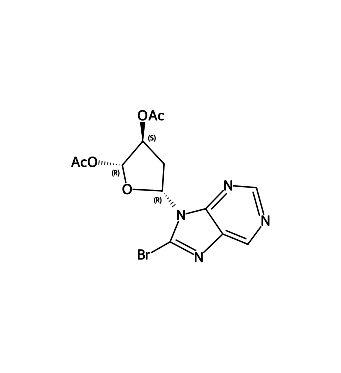 CC(=O)O[C@H]1O[C@@H](n2c(Br)nc3cncnc32)C[C@@H]1OC(C)=O